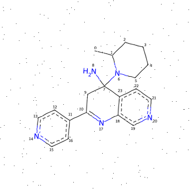 CC1CCCCN1C1(N)CC(c2ccncc2)=Nc2cnccc21